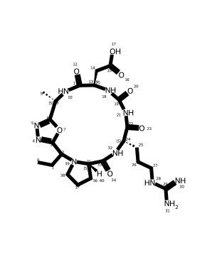 CCC1c2nnc(o2)[C@H](C)NC(=O)[C@@H](CC(=O)O)NC(=O)NC(=O)[C@H](CCCNC(=N)N)NC(=O)[C@@H]2CCCN12